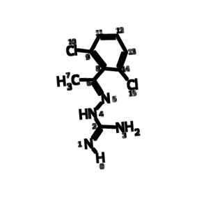 [H]/N=C(\N)NN=C(C)c1c(Cl)cccc1Cl